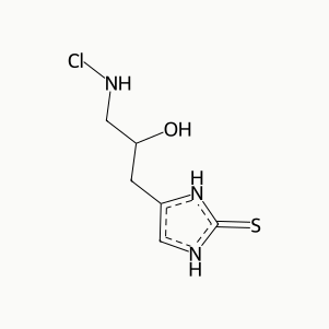 OC(CNCl)Cc1c[nH]c(=S)[nH]1